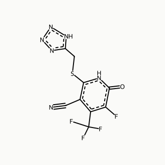 N#Cc1c(SCc2nnn[nH]2)[nH]c(=O)c(F)c1C(F)(F)F